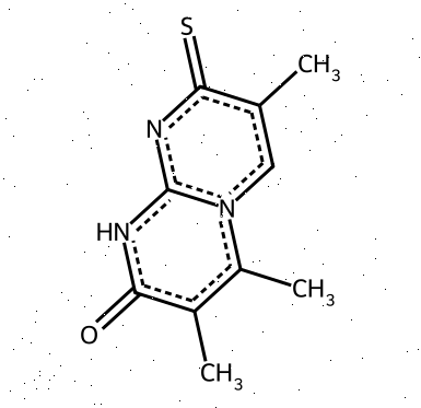 Cc1cn2c(C)c(C)c(=O)[nH]c2nc1=S